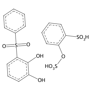 O=S(=O)(O)Oc1ccccc1S(=O)(=O)O.O=S(=O)(c1ccccc1)c1cccc(O)c1O